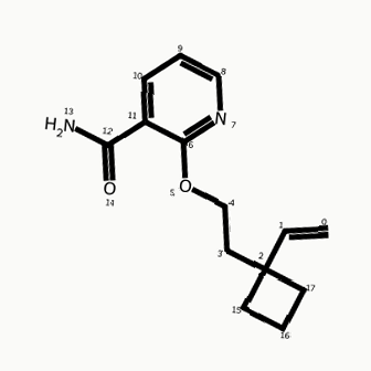 C=CC1(CCOc2ncccc2C(N)=O)CCC1